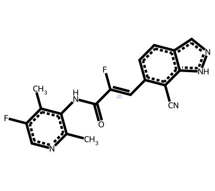 Cc1ncc(F)c(C)c1NC(=O)/C(F)=C/c1ccc2cn[nH]c2c1C#N